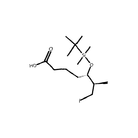 C[C@@H](CI)[C@H](CCCC(=O)O)O[Si](C)(C)C(C)(C)C